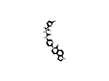 O=C(Nc1ccc(-n2ccc3c4c(ccc3c2=O)NCC4)nc1)NS(=O)(=O)c1ccc(Cl)s1